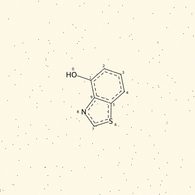 Oc1cccc2s[c]nc12